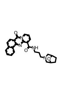 O=C(NCCCN1CC2CCC(C1)O2)c1cccn2c(=O)c3ccc4ccccc4c3nc12